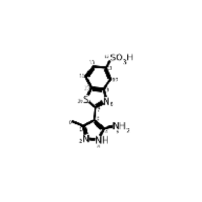 Cc1n[nH]c(N)c1-c1nc2cc(S(=O)(=O)O)ccc2s1